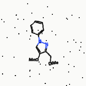 COCc1nn(-c2ccccc2)cc1OC